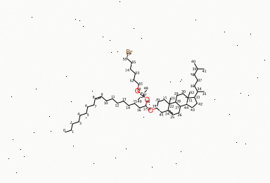 CCCCCCCC/C=C\CCCCCCCC(OC1CCC2(C)C(=CCC3C2CCC2(C)C(C(C)CCCC(C)C)CCC32)C1)O[Si](C)(C)OCCCCCCBr